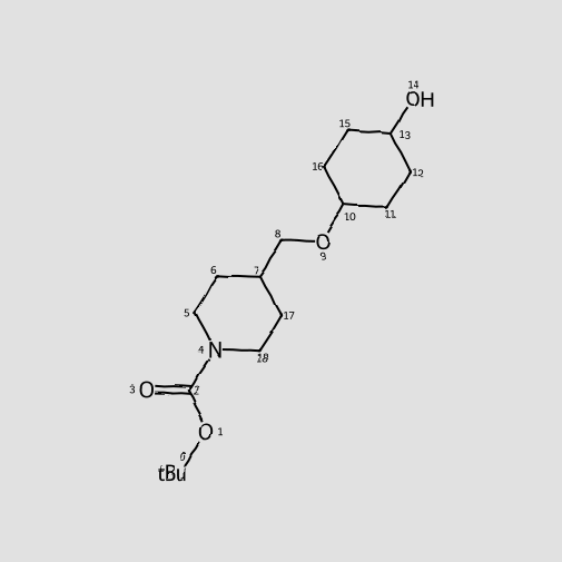 CC(C)(C)OC(=O)N1CCC(COC2CCC(O)CC2)CC1